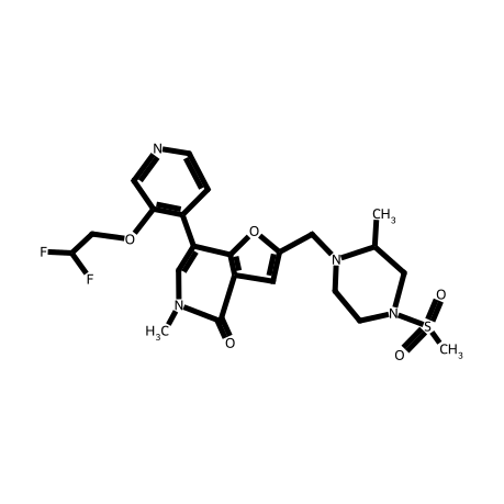 CC1CN(S(C)(=O)=O)CCN1Cc1cc2c(=O)n(C)cc(-c3ccncc3OCC(F)F)c2o1